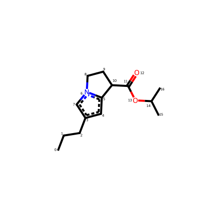 CCCc1cc2n(c1)CCC2C(=O)OC(C)C